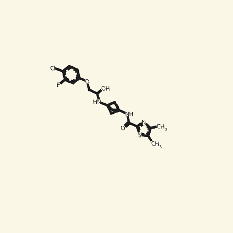 Cc1nc(C(=O)NC23CC(NC(O)COc4ccc(Cl)c(F)c4)(C2)C3)sc1C